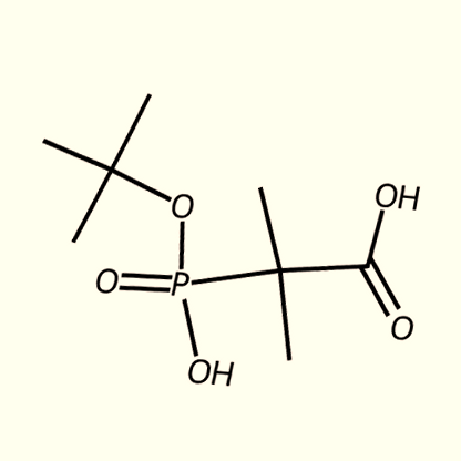 CC(C)(C)OP(=O)(O)C(C)(C)C(=O)O